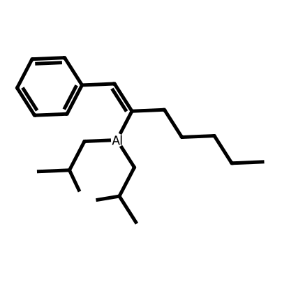 CCCCC[C](=Cc1ccccc1)[Al]([CH2]C(C)C)[CH2]C(C)C